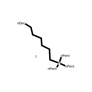 CCCCCCCCCCCCCCCC[P+](CCCCC)(CCCCC)CCCCC.[I-]